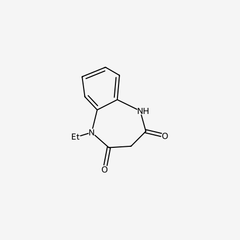 CCN1C(=O)CC(=O)Nc2ccccc21